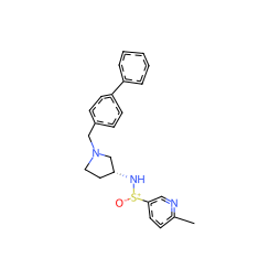 Cc1ccc([S+]([O-])N[C@@H]2CCN(Cc3ccc(-c4ccccc4)cc3)C2)cn1